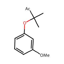 COc1cccc(OC(C)(C)C(C)=O)c1